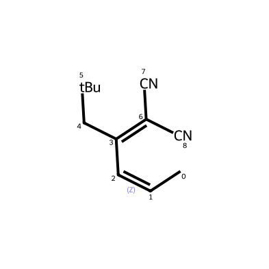 C/C=C\C(CC(C)(C)C)=C(C#N)C#N